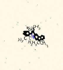 Cc1ccc(C)c(-c2cc(CC(C)C)c3cc4c(cc3n2)C(C)(C)c2ccccc2-4)c1C